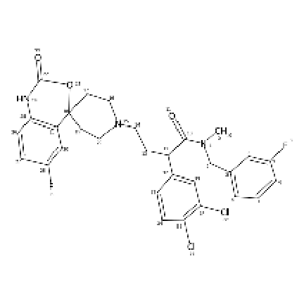 CN(Cc1cccc(F)c1)C(=O)C(CCN1CCC2(CC1)OC(=O)Nc1ccc(F)cc12)c1ccc(Cl)c(Cl)c1